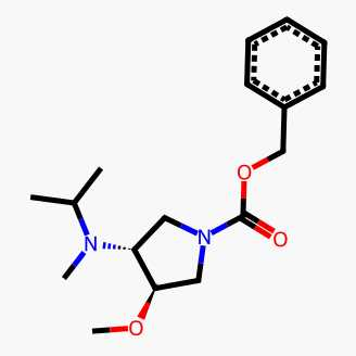 CO[C@@H]1CN(C(=O)OCc2ccccc2)C[C@H]1N(C)C(C)C